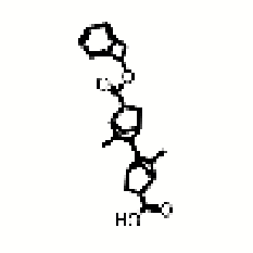 CC1C2CC(CC2C(=O)O)C1C1C2CC(C(=O)OC3Cc4ccccc43)C(C2)C1C